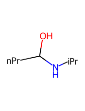 CCCC(O)NC(C)C